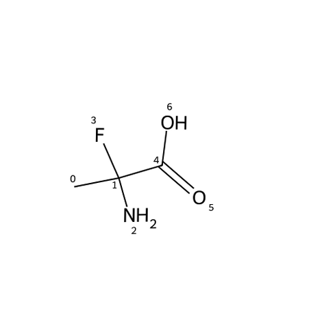 CC(N)(F)C(=O)O